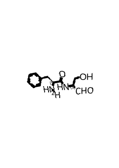 [2H]N[C@@H](Cc1ccccc1)C(=O)N[C@H](C=O)CO